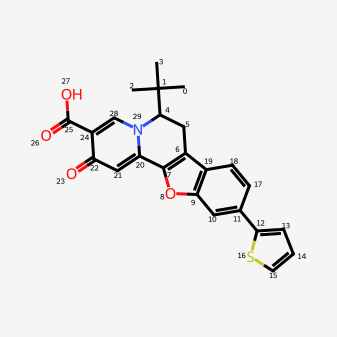 CC(C)(C)C1Cc2c(oc3cc(-c4cccs4)ccc23)-c2cc(=O)c(C(=O)O)cn21